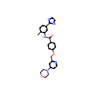 Cc1ccc(-c2ncc[nH]2)cc1NC(=O)c1ccc(OCc2cc(N3CCOCC3)ccn2)cc1